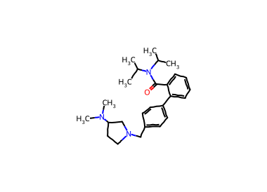 CC(C)N(C(=O)c1ccccc1-c1ccc(CN2CCC(N(C)C)C2)cc1)C(C)C